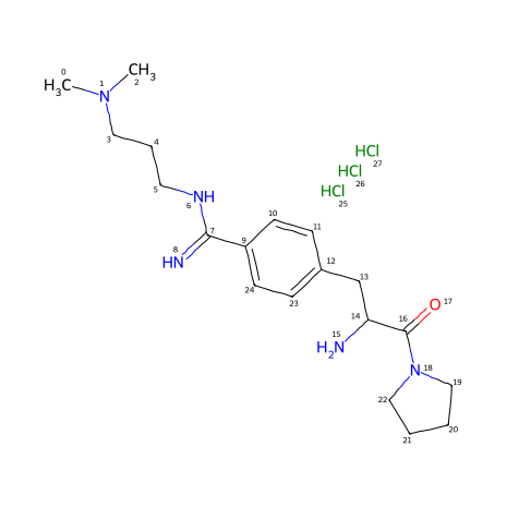 CN(C)CCCNC(=N)c1ccc(CC(N)C(=O)N2CCCC2)cc1.Cl.Cl.Cl